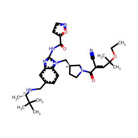 CCOC(C)(C)C=C(C#N)C(=O)N1CC[C@@H](Cn2c(NC(=O)c3ccno3)nc3cc(CN[C@@H](C)C(C)(C)C)ccc32)C1